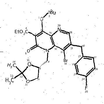 CCCCOc1c(C(=O)OCC)c(=O)n(C[C@@H]2COC(C)(C)O2)c2c(Br)c(Cc3ccc(F)cc3)cnc12